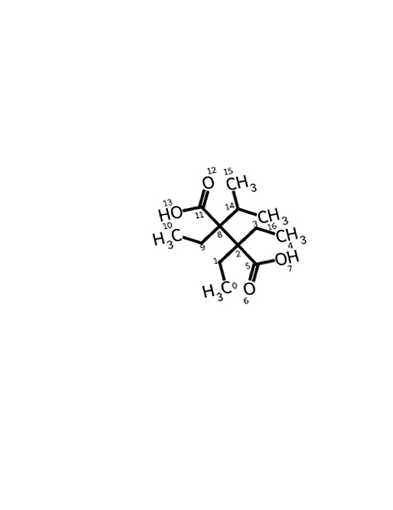 CCC(CC)(C(=O)O)C(CC)(C(=O)O)C(C)C